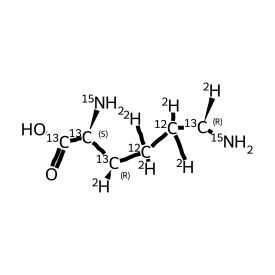 [2H][13C@@H]([15NH2])[12C]([2H])([2H])[12C]([2H])([2H])[13C@@H]([2H])[13C@H]([15NH2])[13C](=O)O